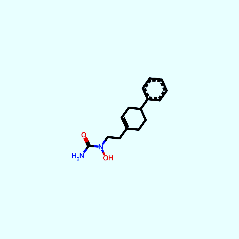 NC(=O)N(O)CCC1=CCC(c2ccccc2)CC1